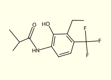 CCc1c(C(F)(F)F)ccc(NC(=O)C(C)C)c1O